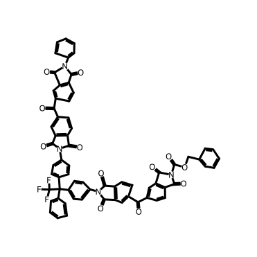 O=C(c1ccc2c(c1)C(=O)N(C(=O)OCc1ccccc1)C2=O)c1ccc2c(c1)C(=O)N(c1ccc(C(c3ccccc3)(c3ccc(N4C(=O)c5ccc(C(=O)c6ccc7c(c6)C(=O)N(c6ccccc6)C7=O)cc5C4=O)cc3)C(F)(F)F)cc1)C2=O